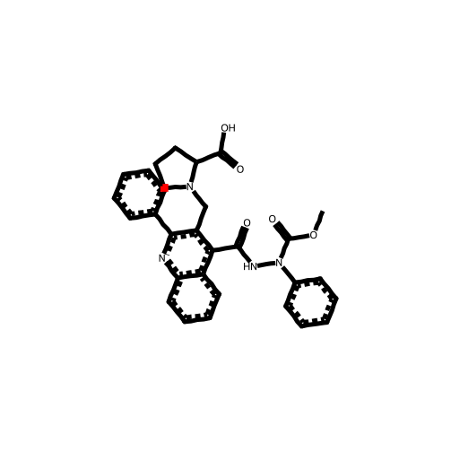 COC(=O)N(NC(=O)c1c(CN2CCCC2C(=O)O)c(-c2ccccc2)nc2ccccc12)c1ccccc1